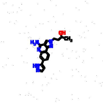 CC(O)CCn1cc2c(N)nc3cc(-c4ccn[nH]4)ccc3c2n1